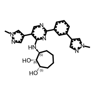 Cn1cc(-c2cccc(-c3ncc(-c4cnn(C)c4)c(N[C@H]4CCCC[C@H](O)[C@@H]4O)n3)c2)cn1